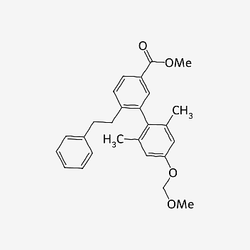 COCOc1cc(C)c(-c2cc(C(=O)OC)ccc2CCc2ccccc2)c(C)c1